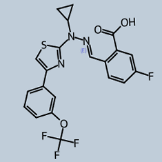 O=C(O)c1cc(F)ccc1/C=N/N(c1nc(-c2cccc(OC(F)(F)F)c2)cs1)C1CC1